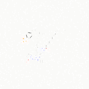 CCCCCCCCCCCCCCCCCC[N+](C)(CCCNC(=O)CCCCCCCCCCCCCCCCC)CN1CCCC1=O.Cc1ccc(S(=O)(=O)[O-])cc1